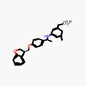 CC1C=C(NC(C)c2ccc(OC[C@@H]3COc4ccccc43)cc2)C=C(CC(=O)O)C1